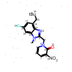 Cn1c(Cn2cccc([N+](=O)[O-])c2=O)nc2c(CC(C)(C)C)cc(F)cc21